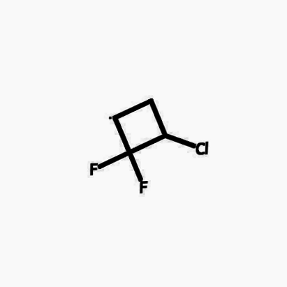 FC1(F)[CH]CC1Cl